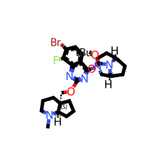 CN1CCC[C@@]2(COc3nc(N4CC[C@H]5CC[C@@H](C4)N5C(=O)OC(C)(C)C)c4ccc(Br)c(F)c4n3)CCC[C@@H]12